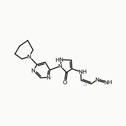 N=N/C=C\Nc1c[nH]n(-c2cc(N3CCCCC3)ncn2)c1=O